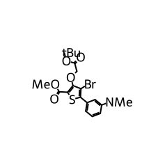 CNc1cccc(-c2sc(C(=O)OC)c(OCC(=O)OC(C)(C)C)c2Br)c1